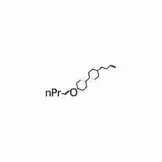 C=CCC[C@H]1CC[C@H]([C@H]2CC[C@H](OC=CCCC)CC2)CC1